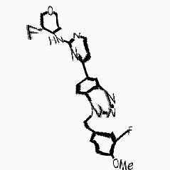 COc1ccc(Cn2nnc3cc(-c4ccnc(N[C@H]5CCOC[C@H]5F)n4)ccc32)cc1F